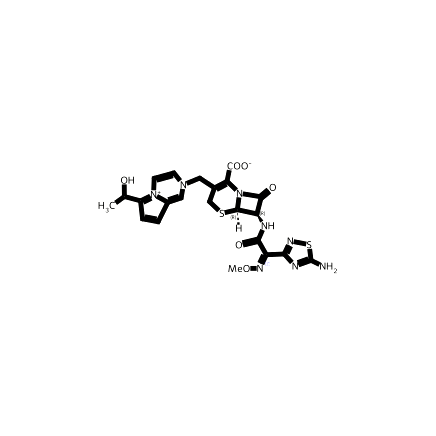 CO/N=C(\C(=O)N[C@@H]1C(=O)N2C(C(=O)[O-])=C(Cn3cc[n+]4c(C(C)O)ccc-4c3)CS[C@H]12)c1nsc(N)n1